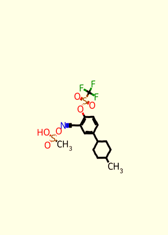 CC1CCC(c2ccc(OS(=O)(=O)C(F)(F)F)c(C#N)c2)CC1.CS(=O)(=O)O